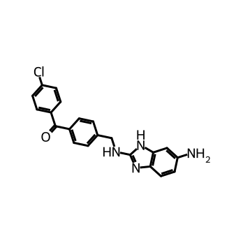 Nc1ccc2nc(NCc3ccc(C(=O)c4ccc(Cl)cc4)cc3)[nH]c2c1